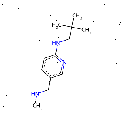 CNCc1ccc(NCC(C)(C)C)nc1